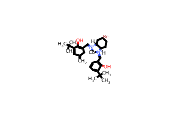 C=C1C=C(C(C)(C)C)C(O)=C(C=[N+]2[Co][N+](=Cc3cccc(C(C)(C)C)c3O)[C@@H]3CCCC[C@H]32)C1.[Br-]